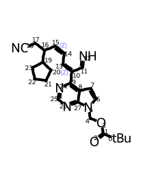 CC(C)(C)C(=O)OCn1ccc2c(/C(C=N)=C/C=C\C(CC#N)C3CCCC3)ncnc21